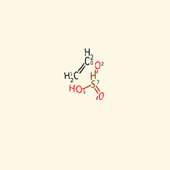 C=C.O=[SH](=O)O